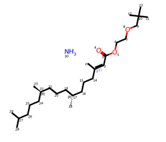 C/C(=C\C(=O)OCCOCC(C)(C)C)CCC[C@H](C)CCC[C@H](C)CCCC(C)C.N